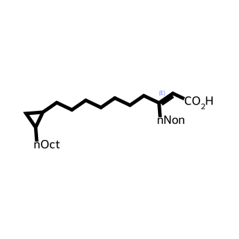 CCCCCCCCC/C(=C\C(=O)O)CCCCCCCC1CC1CCCCCCCC